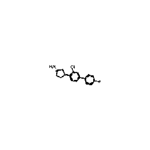 N#Cc1cc(-c2ccc(F)cc2)ccc1N1CC[C@H](N)C1